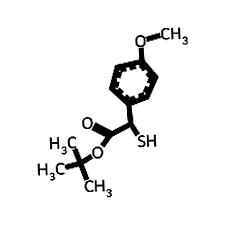 COc1ccc(C(S)C(=O)OC(C)(C)C)cc1